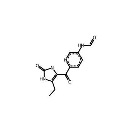 CCC1=C(C(=O)c2ccc(NC=O)cn2)[N]C(=O)N1